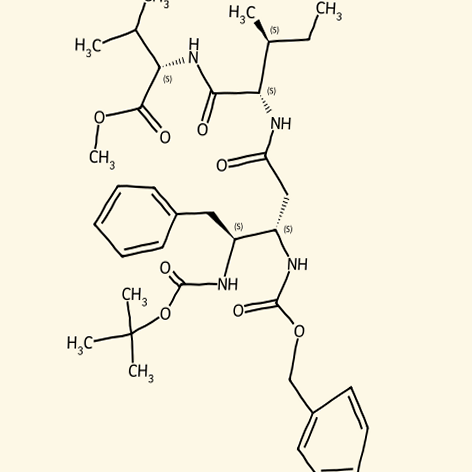 CC[C@H](C)[C@H](NC(=O)C[C@H](NC(=O)OCc1ccccc1)[C@H](Cc1ccccc1)NC(=O)OC(C)(C)C)C(=O)N[C@H](C(=O)OC)C(C)C